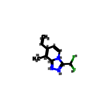 C=Cc1ccn2c(C(F)F)nnc2c1C